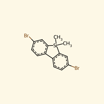 C[Si]1(C)c2cc(Br)ccc2-c2ccc(Br)cc21